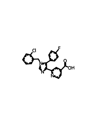 O=C(O)c1ccnc(-c2ncn(Cc3ccccc3Cl)c2-c2ccc(F)cc2)c1